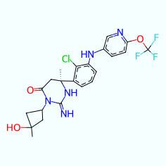 CC1(O)CC(N2C(=N)N[C@](C)(c3cccc(Nc4ccc(OC(F)(F)F)nc4)c3Cl)CC2=O)C1